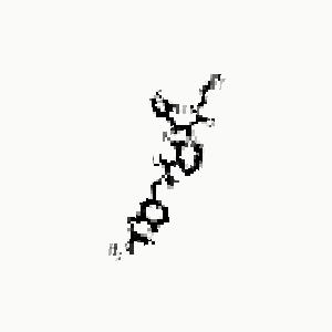 CC(C)CCNC(=O)c1c(-c2ccsc2)nc2c(C(=O)NCc3ccc4nc(N)sc4c3)cccn12